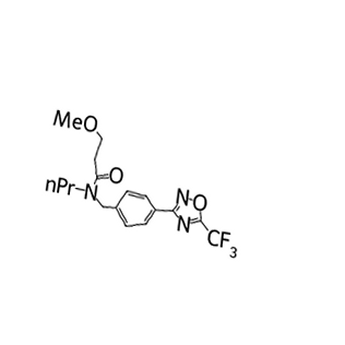 CCCN(Cc1ccc(-c2noc(C(F)(F)F)n2)cc1)C(=O)CCOC